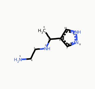 CC(NCCN)c1cn[nH]c1